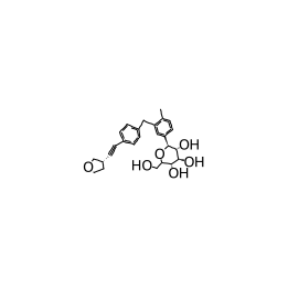 Cc1ccc([C@@H]2OC(CO)[C@@H](O)[C@H](O)[C@H]2O)cc1Cc1ccc(C#C[C@@H]2CCOC2)cc1